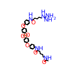 CC(=O)NCCCCC(=O)Nc1ccc(Oc2ccc(S(=O)(=O)c3ccc(Oc4ccc(NC(=O)CCCCNC(=N)N)cc4)cc3)cc2)cc1